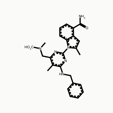 Cc1c(CN(C)C(=O)O)nc(-n2c(C)cc3c(C(N)=O)cccc32)nc1NCc1ccccc1